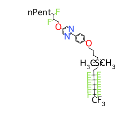 CCCCCC(F)C(F)COc1cnc(-c2ccc(OCCCC[Si](C)(C)CCC(F)(F)C(F)(F)C(F)(F)C(F)(F)C(F)(F)C(F)(F)F)cc2)nc1